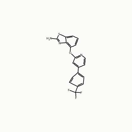 Nc1nc2c(Oc3cc(-c4ccc(C(F)(F)F)cc4)ccn3)cccc2s1